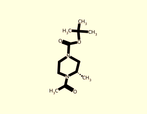 CC(=O)N1CCN(C(=O)OC(C)(C)C)C[C@@H]1C